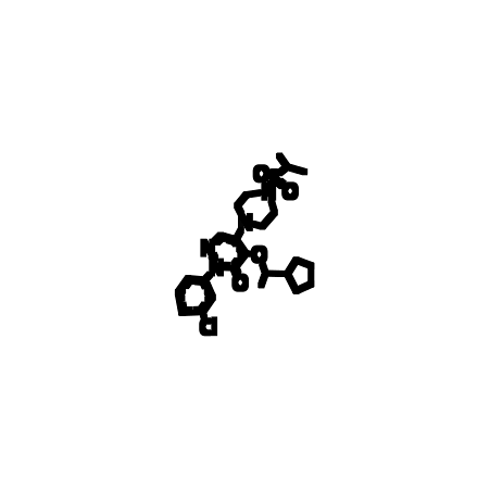 CC(Oc1c(N2CCN(S(=O)(=O)C(C)C)CC2)cnn(-c2cccc(Cl)c2)c1=O)C1CCCC1